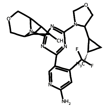 CC1C2C1C1COCC2N1c1nc(-c2cnc(N)cc2C(F)F)nc(N2COCC2C2C[C@@H]2C)n1